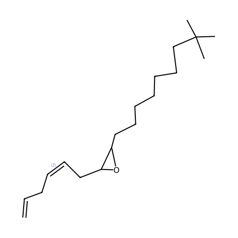 C=CC/C=C\CC1OC1CCCCCCCC(C)(C)C